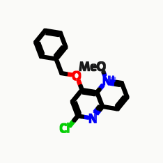 CO[n+]1cccc2nc(Cl)cc(OCc3ccccc3)c21